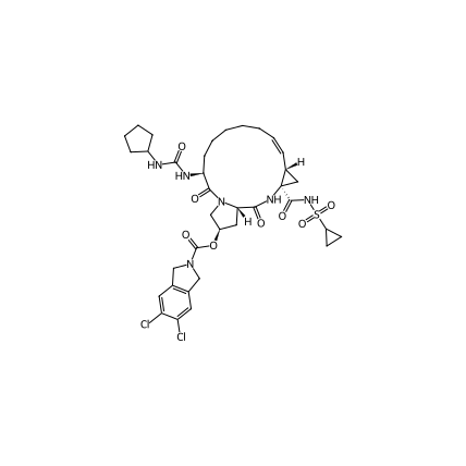 O=C(NC1CCCC1)N[C@H]1CCCCC/C=C\[C@@H]2C[C@@]2(C(=O)NS(=O)(=O)C2CC2)NC(=O)[C@@H]2C[C@@H](OC(=O)N3Cc4cc(Cl)c(Cl)cc4C3)CN2C1=O